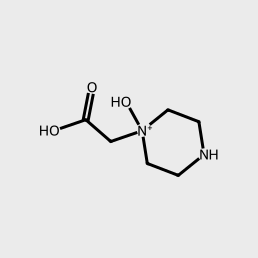 O=C(O)C[N+]1(O)CCNCC1